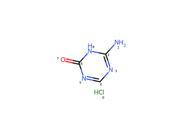 Cl.Nc1ncnc(=O)[nH]1